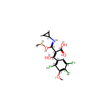 COc1c(F)c(F)cc(C(O)=C(C(=O)O)/C(=N/C2CC2)OSC)c1F